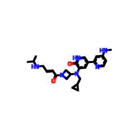 CNc1ccnc(-c2c[nH]c(=O)c(N(CC3CC3)C3CN(C(=O)/C=C/CNC(C)C)C3)c2)c1